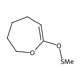 CSOC1=CCCCCO1